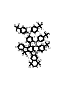 CC(C)(C)c1ccc(N2B3c4cc(C(C)(C)C)ccc4-n4c5cc6c(cc5c5c7c(c(c3c54)-c3ccc(N(c4ccc(C(C)(C)C)cc4)c4ccc(C(C)(C)C)cc4)cc32)-c2ccccc2C7(C)C)C(C)(C)CCC6(C)C)cc1